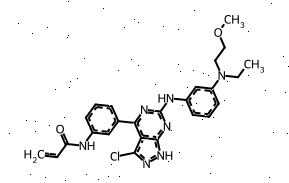 C=CC(=O)Nc1cccc(-c2nc(Nc3cccc(N(CC)CCOC)c3)nc3[nH]nc(Cl)c23)c1